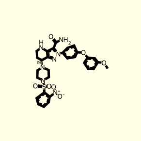 COc1cccc(Oc2ccc(-n3nc4c(c3C(N)=O)NCC[C@@H]4N3CCN(S(=O)(=O)c4ccccc4[N+](=O)[O-])CC3)cc2)c1